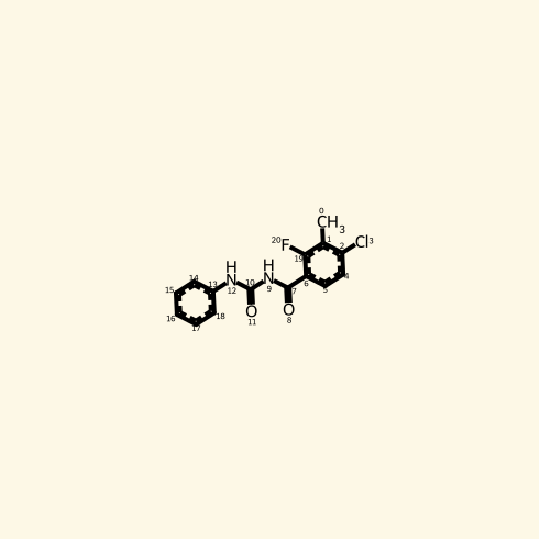 Cc1c(Cl)ccc(C(=O)NC(=O)Nc2ccccc2)c1F